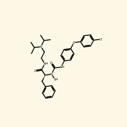 CC(C)N(CCNC(=O)[C@H](Cc1ccccc1)N(S)C(=O)Nc1ccc(Oc2ccc(Cl)cc2)cc1)C(C)C